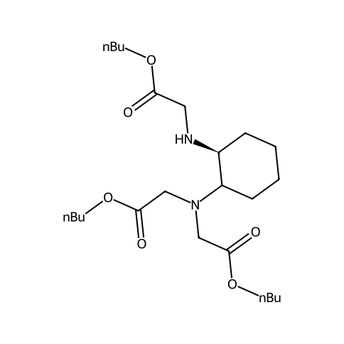 CCCCOC(=O)CN[C@H]1CCCCC1N(CC(=O)OCCCC)CC(=O)OCCCC